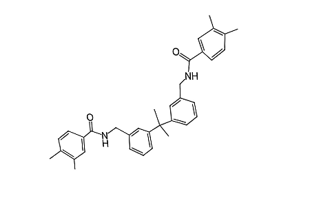 Cc1ccc(C(=O)NCc2cccc(C(C)(C)c3cccc(CNC(=O)c4ccc(C)c(C)c4)c3)c2)cc1C